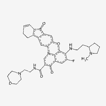 CN1CCCC1CCNc1c(F)cc2c(=O)c(C(=O)NCCN3CCOCC3)cn3c4cc5c6c(c(=O)c5cc4oc1c23)C=CCC6